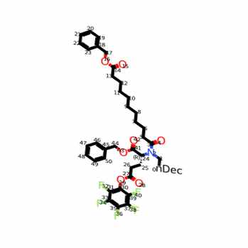 CCCCCCCCCCCN(C(=O)CCCCCCCCCC(=O)OCc1ccccc1)[C@H](CCC(=O)Oc1c(F)c(F)c(F)c(F)c1F)C(=O)OCc1ccccc1